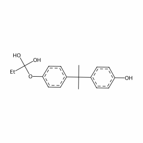 CCC(O)(O)Oc1ccc(C(C)(C)c2ccc(O)cc2)cc1